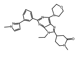 CCn1c(C2CCN(C)C(=O)C2)nc2c(N3CCOCC3)nc(-c3cccc(-c4ccn(C)n4)c3)nc21